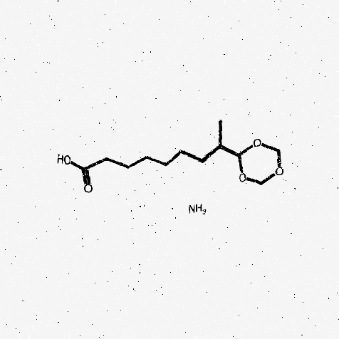 CC(CCCCCCC(=O)O)C1OCOCO1.N